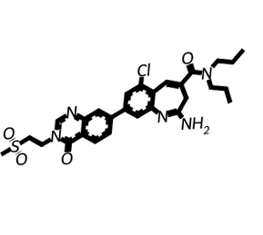 CCCN(CCC)C(=O)C1=Cc2c(Cl)cc(-c3ccc4c(=O)n(CCS(C)(=O)=O)cnc4c3)cc2N=C(N)C1